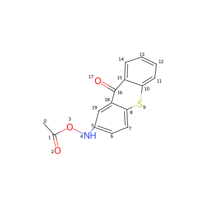 CC(=O)ONc1ccc2sc3ccccc3c(=O)c2c1